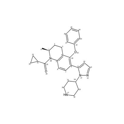 C[C@H]1CCc2c(ccc(-c3ccnn3C3CCNCC3)c2Oc2ccccc2)N1C(=O)C1CC1